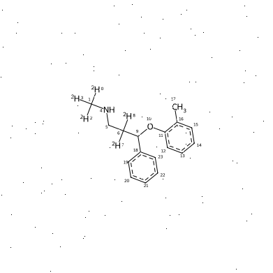 [2H]C([2H])([2H])NCC([2H])([2H])C(Oc1ccccc1C)c1ccccc1